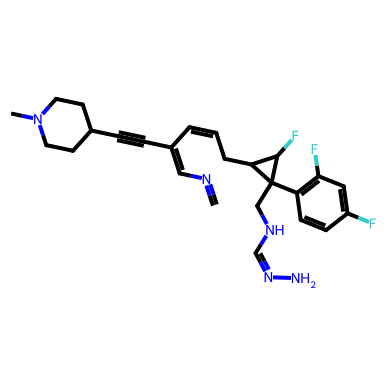 C=N/C=C(C#CC1CCN(C)CC1)\C=C/CC1C(F)C1(CN/C=N\N)c1ccc(F)cc1F